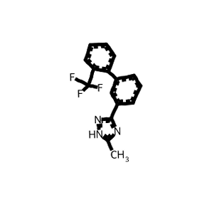 Cc1nc(-c2cccc(-c3ccccc3C(F)(F)F)c2)n[nH]1